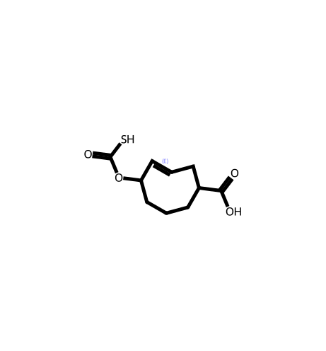 O=C(S)OC1/C=C/CC(C(=O)O)CCC1